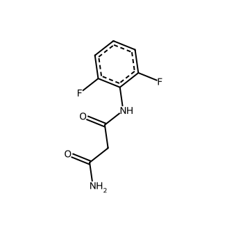 NC(=O)CC(=O)Nc1c(F)cccc1F